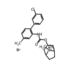 Cc1ccc(-c2cccc(Cl)c2)c(NC(=O)OC2CC3CCC(C2)[N+]3(C)C)c1.[Br-]